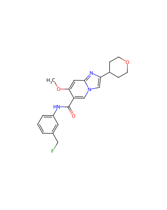 COc1cc2nc(C3CCOCC3)cn2cc1C(=O)Nc1cccc(CF)c1